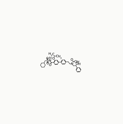 CC(C)Oc1cc(-c2ccc(CCN(C[C@@H](O)c3ccccc3)C(=O)O)cc2)ccc1C(=O)NS(=O)(=O)CC1CCCCC1